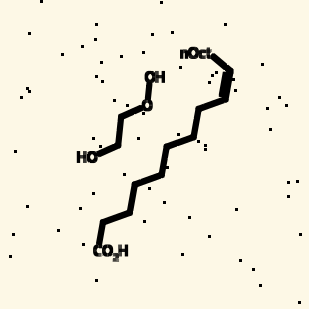 CCCCCCCC/C=C\CCCCCCCC(=O)O.OCCOO